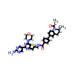 CC(=O)N1c2ccc(-c3ccc(C(=O)NCc4cc5nc(-c6cnc(N)nc6)nc(N6CCOCC6)c5s4)cc3)cc2CC[C@@H]1C